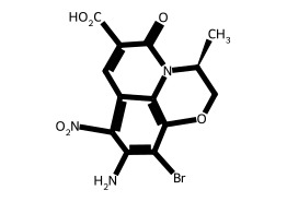 C[C@H]1COc2c(Br)c(N)c([N+](=O)[O-])c3cc(C(=O)O)c(=O)n1c23